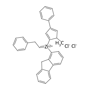 CC1C=C(c2ccccc2)C=[C]1[Zr+2](=[CH]Cc1ccccc1)[c]1cccc2c1Cc1ccccc1-2.[Cl-].[Cl-]